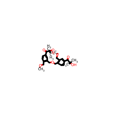 COCc1cc(C(=O)C(C)(C)O)ccc1COCc1cc(C(=O)C(C)(C)O)ccc1COC